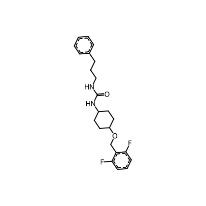 O=C(NCCCc1ccccc1)NC1CCC(OCc2c(F)cccc2F)CC1